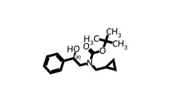 CC(C)(C)OC(=O)N(CC1CC1)C[C@H](O)c1ccccc1